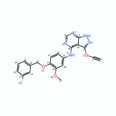 C#COc1n[nH]c2ncnc(Nc3ccc(OCc4cccc(F)c4)c(OC)c3)c12